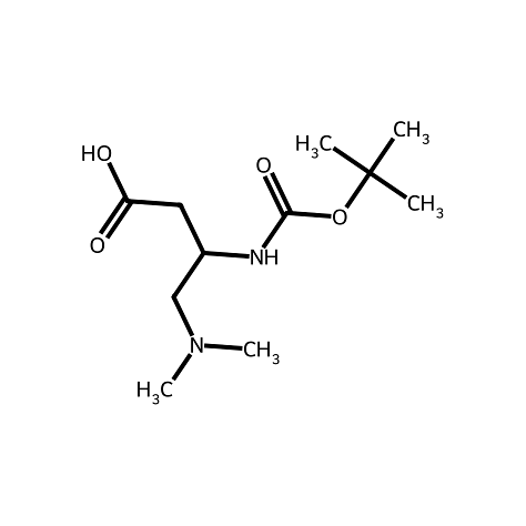 CN(C)CC(CC(=O)O)NC(=O)OC(C)(C)C